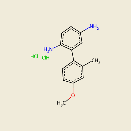 COc1ccc(-c2cc(N)ccc2N)c(C)c1.Cl.Cl